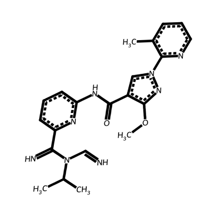 COc1nn(-c2ncccc2C)cc1C(=O)Nc1cccc(C(=N)N(C=N)C(C)C)n1